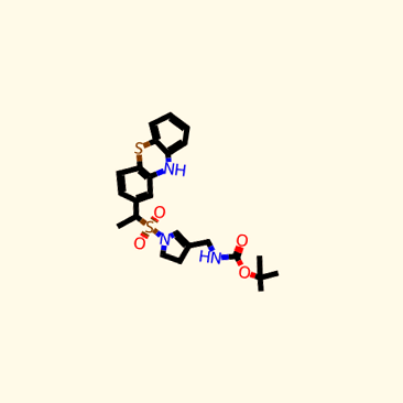 CC(c1ccc2c(c1)Nc1ccccc1S2)S(=O)(=O)N1C=C(CNC(=O)OC(C)(C)C)CC1